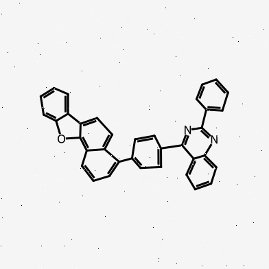 c1ccc(-c2nc(-c3ccc(-c4cccc5c4ccc4c6ccccc6oc54)cc3)c3ccccc3n2)cc1